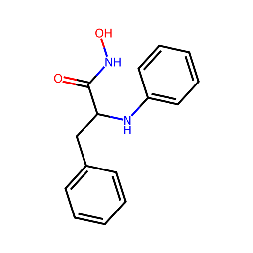 O=C(NO)C(Cc1ccccc1)Nc1ccccc1